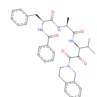 CC(C)[C@H](NC(=O)[C@H](C)NC(=O)[C@H](Cc1ccccc1)NC(=O)c1ccccc1)C(=O)C(=O)N1CCc2ccccc2C1